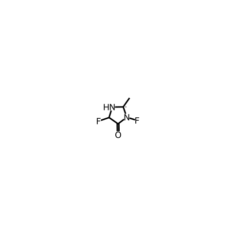 C[C]1NC(F)C(=O)N1F